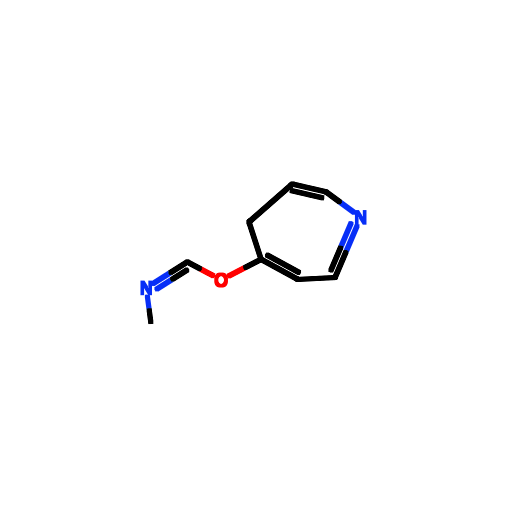 C/N=C\OC1=CC=NC=CC1